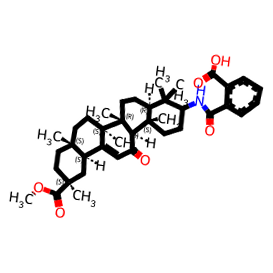 COC(=O)[C@@]1(C)CC[C@]2(C)CC[C@]3(C)C(=CC(=O)[C@@H]4[C@@]5(C)CCC(NC(=O)c6ccccc6C(=O)O)C(C)(C)[C@@H]5CC[C@]43C)[C@H]2C1